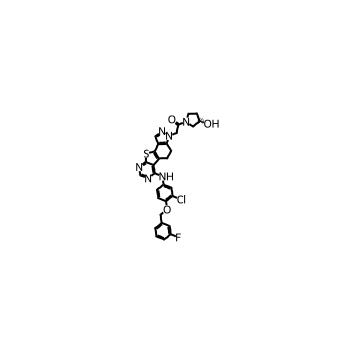 O=C(Cn1ncc2c1CCc1c-2sc2ncnc(Nc3ccc(OCc4cccc(F)c4)c(Cl)c3)c12)N1CC[C@@H](O)C1